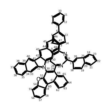 CC1=C(c2ccc(-c3ccccc3)cc2)N=C(c2ccc3ccccc3c2)N=C(c2c(-n3c4cc5ccccc5cc4c4cc5ccccc5cc43)c3oc4ccccc4c3c3ccccc23)C1